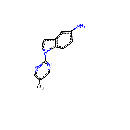 Nc1ccc2c(ccn2-c2ncc(C(F)(F)F)cn2)c1